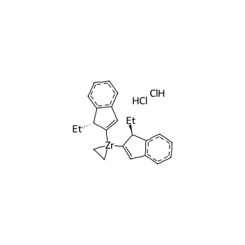 CC[C@@H]1[C]([Zr]2([C]3=Cc4ccccc4[C@H]3CC)[CH2][CH2]2)=Cc2ccccc21.Cl.Cl